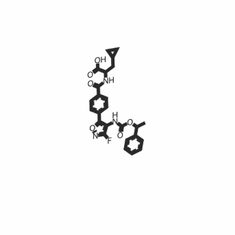 CC(OC(=O)Nc1c(F)noc1-c1ccc(C(=O)NC(CC2CC2)C(=O)O)cc1)c1ccccc1